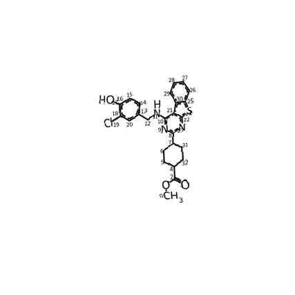 COC(=O)C1CCC(c2nc(NCc3ccc(O)c(Cl)c3)c3c(n2)sc2ccccc23)CC1